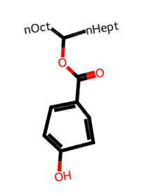 CCCCCCCCC(CCCCCCC)OC(=O)c1ccc(O)cc1